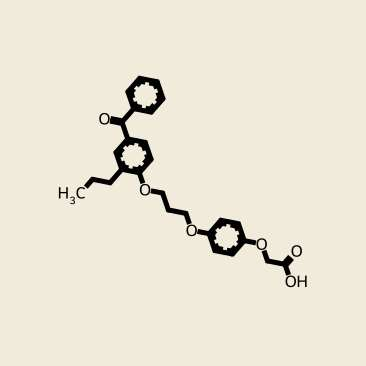 CCCc1cc(C(=O)c2ccccc2)ccc1OCCCOc1ccc(OCC(=O)O)cc1